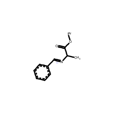 CC(C)OC(=O)C(C)/N=C/c1ccccc1